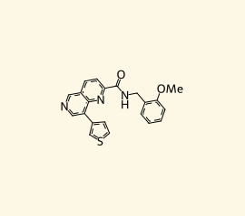 COc1ccccc1CNC(=O)c1ccc2cncc(-c3ccsc3)c2n1